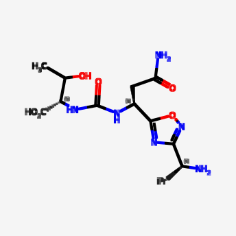 CC(O)[C@H](NC(=O)N[C@@H](CC(N)=O)c1nc([C@@H](N)C(C)C)no1)C(=O)O